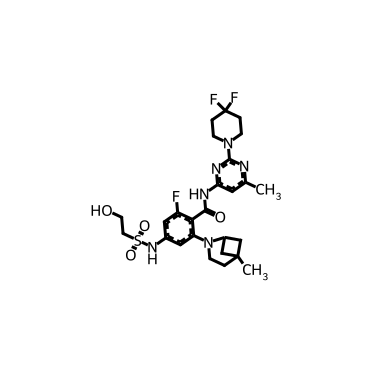 Cc1cc(NC(=O)c2c(F)cc(NS(=O)(=O)CCO)cc2N2CCC3(C)CC2C3)nc(N2CCC(F)(F)CC2)n1